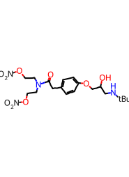 CC(C)(C)NCC(O)COc1ccc(CC(=O)N(CCO[N+](=O)[O-])CCO[N+](=O)[O-])cc1